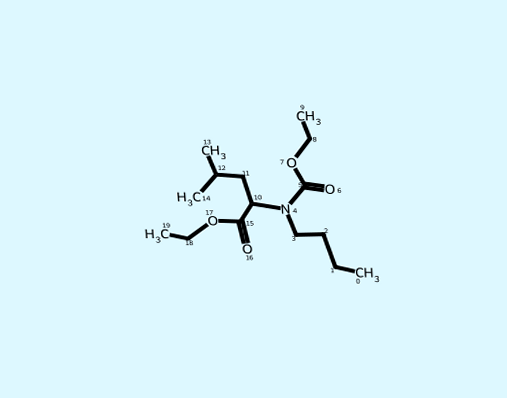 CCCCN(C(=O)OCC)C(CC(C)C)C(=O)OCC